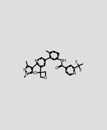 Cc1ccc(NC(=O)c2ccnc(C(C)(F)F)c2)cc1-c1cnc(-c2cn(C)nc2C)c(C2(O)COC2)c1